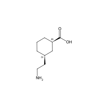 NCC[C@H]1CCC[C@@H](C(=O)O)C1